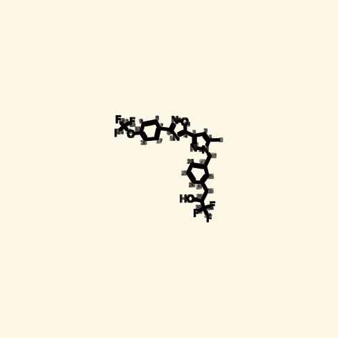 Cc1cc(-c2nc(-c3ccc(OC(F)(F)F)cc3)no2)nn1Cc1cccc(CC(O)C(F)(F)F)c1